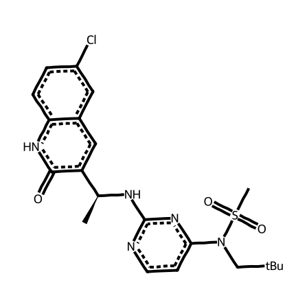 C[C@H](Nc1nccc(N(CC(C)(C)C)S(C)(=O)=O)n1)c1cc2cc(Cl)ccc2[nH]c1=O